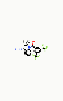 C[C@H]1C[C@@H](N)c2ccccc2N1C(=O)c1cc(C(F)(F)F)cc(C(F)(F)F)c1